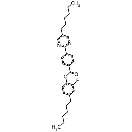 CCCCCCc1cnc(-c2ccc(C(=O)Oc3ccc(CCCCCC)cc3F)cc2)nc1